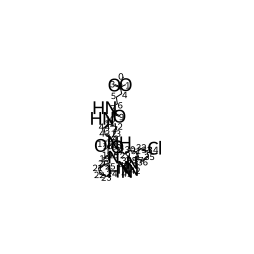 COC(=O)CCCNC(=O)Nc1ccc(NC(=O)C(Cc2ccccc2)NC(=O)C=Cc2cc(Cl)ccc2-n2cnnn2)cc1